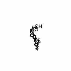 CC(C)Oc1ccc(COc2ccc3c(c2)CCC(CN2CC(OC(=O)O)C2)=C3Cl)c(C(F)(F)F)c1